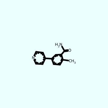 Cc1ccc(-c2ccncc2)cc1C(N)=O